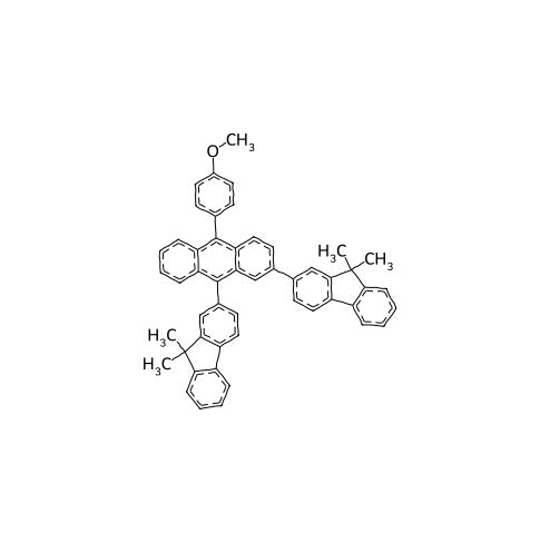 COc1ccc(-c2c3ccccc3c(-c3ccc4c(c3)C(C)(C)c3ccccc3-4)c3cc(-c4ccc5c(c4)C(C)(C)c4ccccc4-5)ccc23)cc1